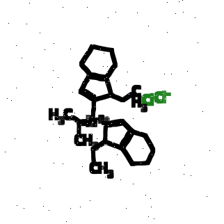 CCC1[C]([Zr+2]([C]2=CC3=C(CCCC3)C2CC)=[C](C)C)=CC2=C1CCCC2.[Cl-].[Cl-]